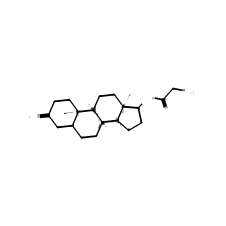 C[C@]12CCC(=O)CC1CC[C@@H]1[C@H]2CC[C@]2(C)C(OC(=O)CBr)CC[C@@H]12